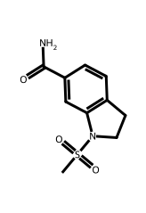 CS(=O)(=O)N1CCc2ccc(C(N)=O)cc21